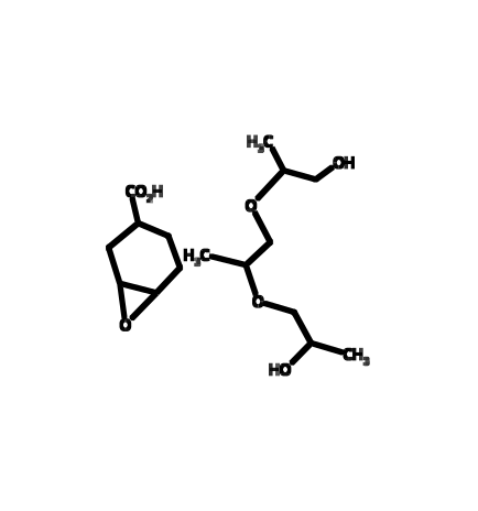 CC(O)COC(C)COC(C)CO.O=C(O)C1CCC2OC2C1